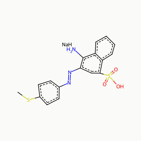 CSc1ccc(N=Nc2cc(S(=O)(=O)O)c3ccccc3c2N)cc1.[NaH]